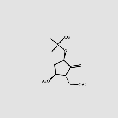 C=C1[C@H](O[Si](C)(C)C(C)(C)C)C[C@H](OC(C)=O)[C@H]1COC(C)=O